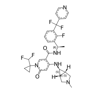 C[C@@H](NC(=O)c1cn(C2(C(F)F)CC2)c(=O)cc1N[C@H]1[C@@H]2CN(C)C[C@@H]21)c1cccc(C(F)(F)c2ccncc2)c1F